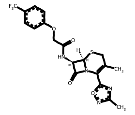 CC1=C(c2nc(C)no2)N2C(=O)[C@@H](NC(=O)COc3ccc(C(F)(F)F)cc3)[C@H]2SC1